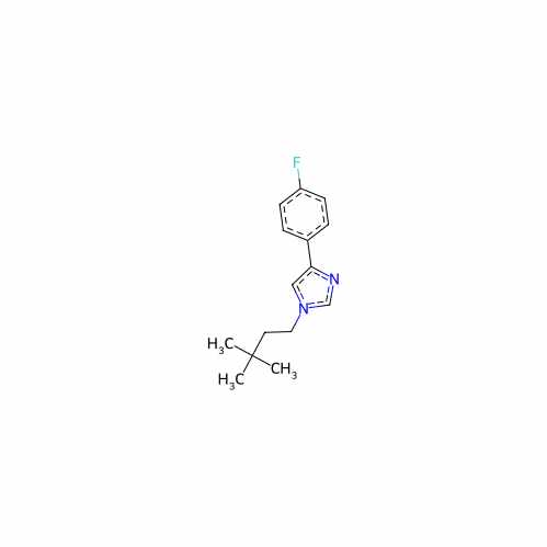 CC(C)(C)CCn1cnc(-c2ccc(F)cc2)c1